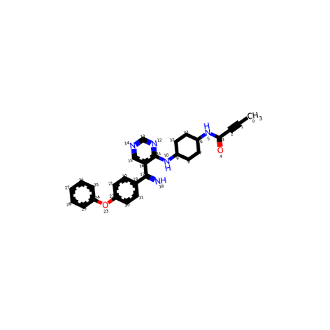 CC#CC(=O)NC1CCC(Nc2ncncc2C(=N)c2ccc(Oc3ccccc3)cc2)CC1